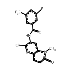 Cn1c(=O)ccc2nc(Cl)c(NC(=O)c3cc(F)cc(C(F)(F)F)c3)cc21